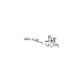 CCCCCCCCOCOCCCC(C)CC(C)C[CH](C)[Mg][Br]